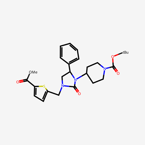 COC(=O)c1ccc(CN2CC(c3ccccc3)N(C3CCN(C(=O)OC(C)(C)C)CC3)C2=O)s1